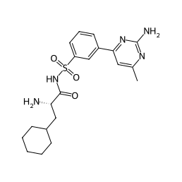 Cc1cc(-c2cccc(S(=O)(=O)NC(=O)[C@@H](N)CC3CCCCC3)c2)nc(N)n1